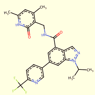 Cc1cc(C)c(CNC(=O)c2cc(-c3ccc(C(F)(F)F)nc3)cc3c2cnn3C(C)C)c(=O)[nH]1